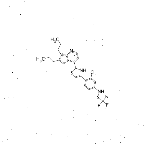 CCCc1cc2c(C3NC(c4ccc(NSC(F)(F)F)cc4Cl)=CS3)ccnc2n1CCC